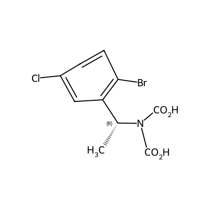 C[C@H](c1cc(Cl)ccc1Br)N(C(=O)O)C(=O)O